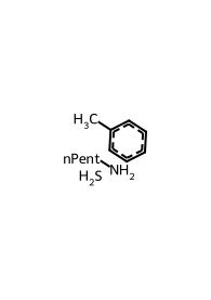 CCCCCN.Cc1ccccc1.S